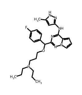 CCCN(CCC)CCCOC(c1ccc(F)cc1)c1nc(Nc2cc(C)[nH]n2)c2cccn2n1